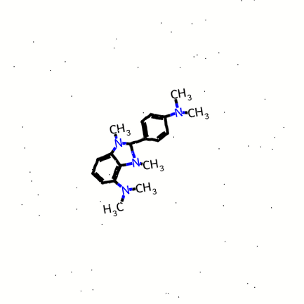 CN(C)c1ccc(C2N(C)c3cccc(N(C)C)c3N2C)cc1